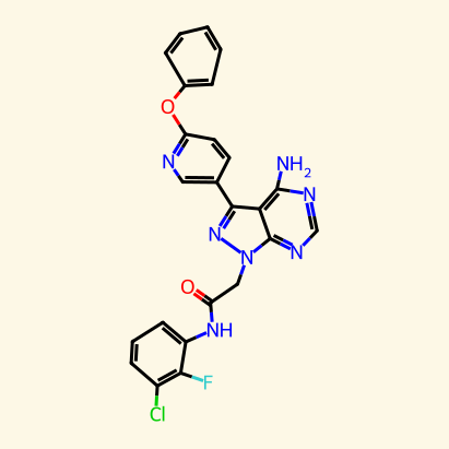 Nc1ncnc2c1c(-c1ccc(Oc3ccccc3)nc1)nn2CC(=O)Nc1cccc(Cl)c1F